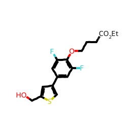 CCOC(=O)CCCOc1c(F)cc(-c2csc(CO)c2)cc1F